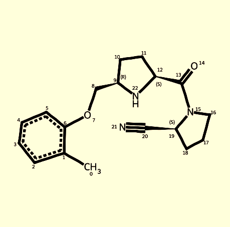 Cc1ccccc1OC[C@H]1CC[C@@H](C(=O)N2CCC[C@H]2C#N)N1